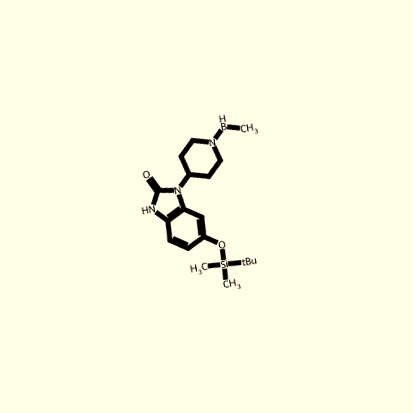 CBN1CCC(n2c(=O)[nH]c3ccc(O[Si](C)(C)C(C)(C)C)cc32)CC1